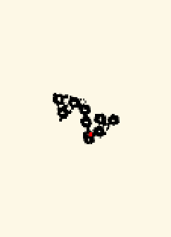 C=P(c1ccccc1)(c1ccccc1)c1ccc(C23CC4CC(CC(c5ccc(-c6ccc7oc8ccc(B(c9c(C)cc(C)cc9C)c9c(C)cc(C)cc9C)cc8c7c6)cc5)(C4)C2)C3)cc1